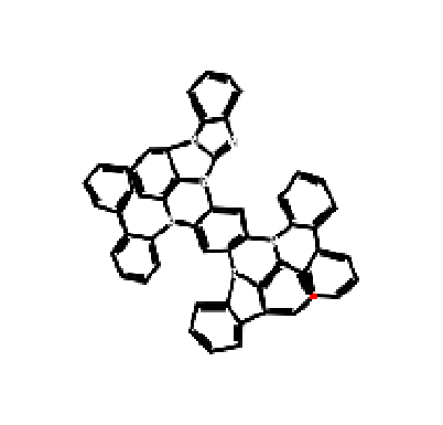 c1ccc(-c2ccccc2B2c3cc4c(cc3-n3c5ccccc5c5cccc2c53)B(c2ccccc2-c2ccccc2)c2cccc3c2n-4c2nc4ccccc4n32)cc1